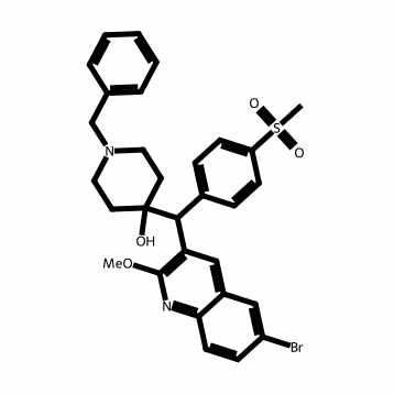 COc1nc2ccc(Br)cc2cc1C(c1ccc(S(C)(=O)=O)cc1)C1(O)CCN(Cc2ccccc2)CC1